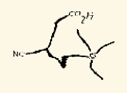 C[Si](C)(C)CC(C#N)CC(=O)O